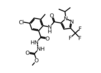 COC(=O)NNC(=O)c1cc(Cl)cc(C)c1NC(=O)c1cc(C(F)(F)F)nn1C(C)C